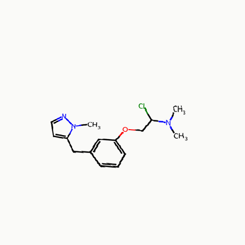 CN(C)C(Cl)COc1cccc(Cc2ccnn2C)c1